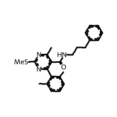 CSc1nc(C)c(C(=O)NCCCc2ccccc2)c(-c2c(C)cccc2C)n1